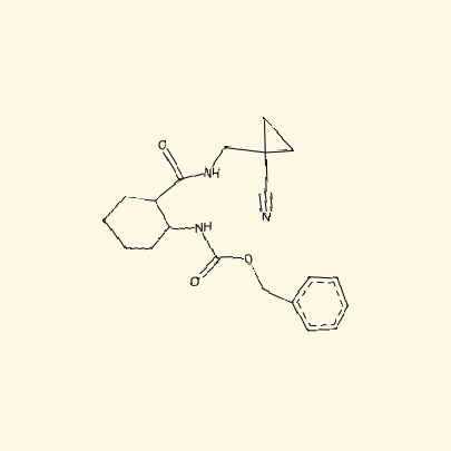 N#CC1(CNC(=O)C2CCCCC2NC(=O)OCc2ccccc2)CC1